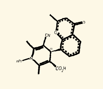 CCCN1C(C)=C(C#N)[C@@H](c2cccc3c(=O)cc(C)oc23)C(C(=O)O)=C1C